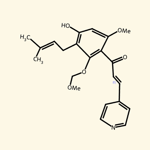 COCOc1c(CC=C(C)C)c(O)cc(OC)c1C(=O)/C=C/c1ccncc1